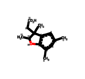 Cc1cc(C)c2c(c1)C(C)(CC(=O)O)C(C)O2